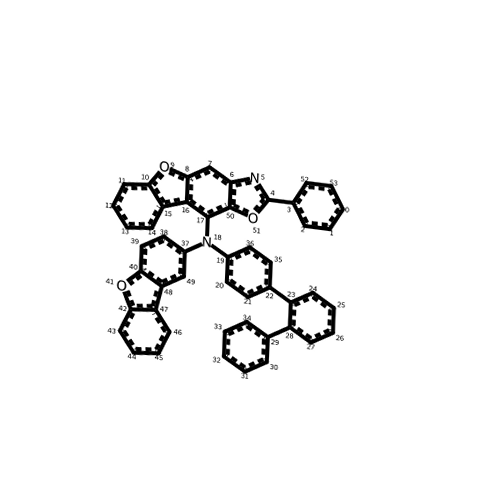 c1ccc(-c2nc3cc4oc5ccccc5c4c(N(c4ccc(-c5ccccc5-c5ccccc5)cc4)c4ccc5oc6ccccc6c5c4)c3o2)cc1